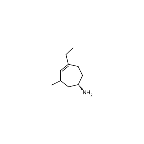 CCC1=CC(C)C[C@H](N)CC1